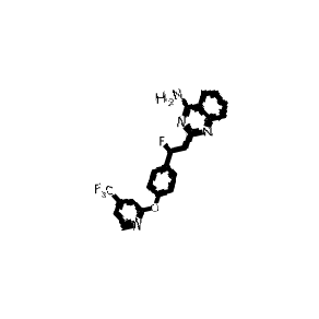 Nc1nc(CC(F)c2ccc(Oc3cc(C(F)(F)F)ccn3)cc2)nc2ccccc12